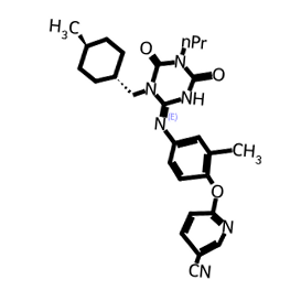 CCCn1c(=O)[nH]/c(=N\c2ccc(Oc3ccc(C#N)cn3)c(C)c2)n(C[C@H]2CC[C@H](C)CC2)c1=O